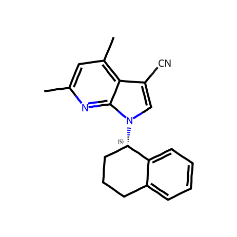 Cc1cc(C)c2c(C#N)cn([C@H]3CCCc4ccccc43)c2n1